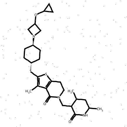 Cc1c(C[C@H]2CC[C@H](N3CC(OC4CC4)C3)CC2)sc2c1C(=O)N(CC1C(=O)NC(C)CC1C)CC2